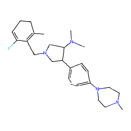 C\C=C(/C=C\C(=C/C)N1CCN(C)CC1)C1CN(CC2=C(C)CCC=C2F)CC1N(C)C